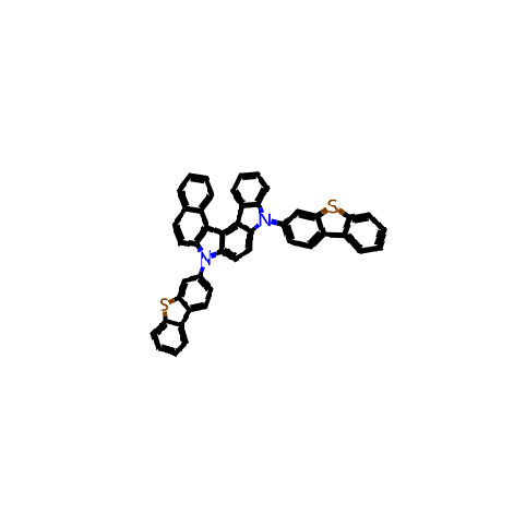 c1ccc2c(c1)ccc1c2c2c3c4ccccc4n(-c4ccc5c(c4)sc4ccccc45)c3ccc2n1-c1ccc2c(c1)sc1ccccc12